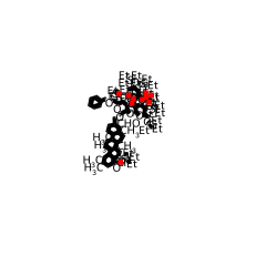 CC[Si](CC)(CC)OCC1O[C@@H](OC2C(O[C@@H]3OC[C@@H](O[Si](CC)(CC)CC)C(O[Si](CC)(CC)CC)C3O[Si](CC)(CC)CC)[C@H](O[Si](CC)(CC)CC)C(C(=O)OCc3ccccc3)O[C@H]2OCC2CCC3(C)C(CCC4(C)C3CC=C3C5CC(C)(C)CC[C@]5(C(=O)Cl)C(O[Si](CC)(CC)CC)CC34C)C2(C)C=O)C(O[Si](CC)(CC)CC)C(O[Si](CC)(CC)CC)[C@H]1O[Si](CC)(CC)CC